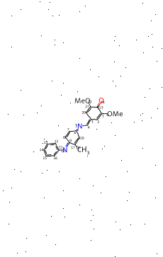 COC1=CC(=CN=C2C=CC(=Nc3ccccc3)C(C)=C2)C=C(OC)C1=O